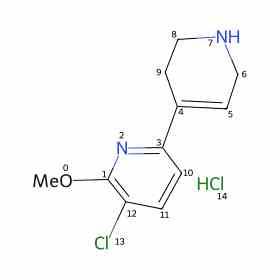 COc1nc(C2=CCNCC2)ccc1Cl.Cl